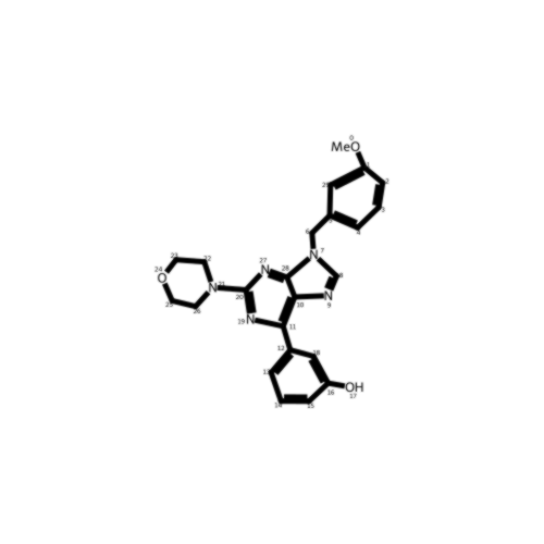 COc1cccc(Cn2cnc3c(-c4cccc(O)c4)nc(N4CCOCC4)nc32)c1